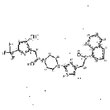 Cc1cc(C(F)(F)F)nn1CC(=O)N1CCC(c2nc(C[S+]([O-])c3cccc4cccnc34)cs2)CC1